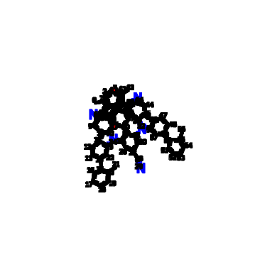 Cc1ccccc1-c1ccc2c3ccc(-c4ccccc4C)cc3n(-c3cc(C#N)cc(-n4c5cc(-c6ccccc6C)ccc5c5ccc(-c6ccccc6C)cc54)c3-c3cc(C#N)cc(C#N)c3)c2c1